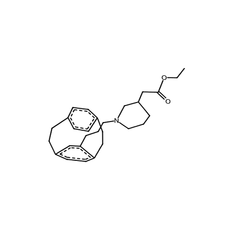 CCOC(=O)CC1CCCN(CCCc2cc3ccc2CCc2ccc(cc2)CC3)C1